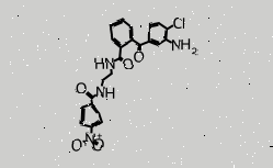 Nc1cc(C(=O)c2ccccc2C(=O)NCCNC(=O)c2ccc([N+](=O)[O-])cc2)ccc1Cl